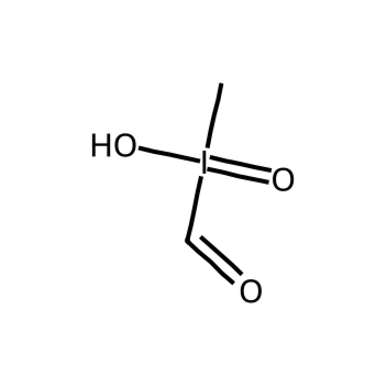 CI(=O)(O)C=O